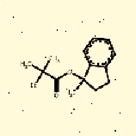 CCC(C)(C)C(=O)OC1(C)CCc2ccccc21